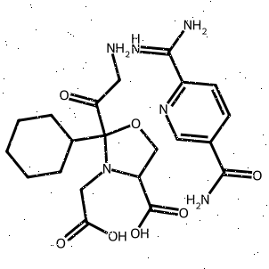 N=C(N)c1ccc(C(N)=O)cn1.NCC(=O)C1(C2CCCCC2)OCC(C(=O)O)N1CC(=O)O